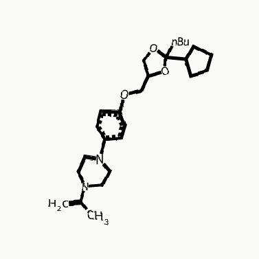 C=C(C)N1CCN(c2ccc(OCC3COC(CCCC)(C4CCCC4)O3)cc2)CC1